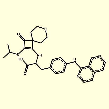 CC(C)SC1=C(NC(Cc2ccc(Nc3nccc4ccncc34)cc2)C(=O)O)C2(CCOCC2)C1=O